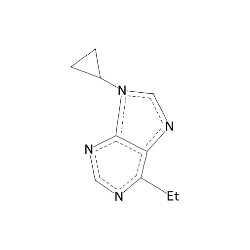 CCc1ncnc2c1ncn2C1CC1